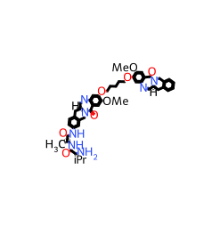 COc1cc2c(cc1OCCCCCOc1cc3c(cc1OC)C(=O)N1Cc4cc(NC(=O)[C@H](C)NC(=O)C(N)C(C)C)ccc4C[C@H]1C=N3)N=C[C@@H]1Cc3ccccc3CN1C2=O